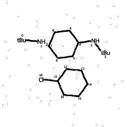 CC(C)(C)N.CC(C)(C)NC1CCCCC1.ClC1CCCCC1